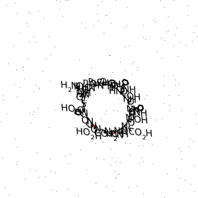 CCCC[C@H]1C(=O)N(C)[C@@H](CCCC)C(=O)N[C@@H](C)C(=O)N[C@H](C(=O)NCC(N)=O)CSCC(=O)N[C@@H](Cc2ccc(O)cc2)C(=O)N2CCCC[C@H]2C(=O)N[C@@H](CC(=O)O)C(=O)N2CCC[C@H]2C(=O)N[C@@H](CN)C(=O)N[C@@H](CCC(=O)O)C(=O)N2C[C@H](O)C[C@H]2C(=O)N[C@@H](Cc2c[nH]c3ccccc23)C(=O)N[C@@H](CO)C(=O)N[C@@H](Cc2c[nH]c3ccccc23)C(=O)N1C